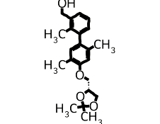 Cc1cc(-c2cccc(CO)c2C)c(C)cc1OC[C@@H]1COC(C)(C)O1